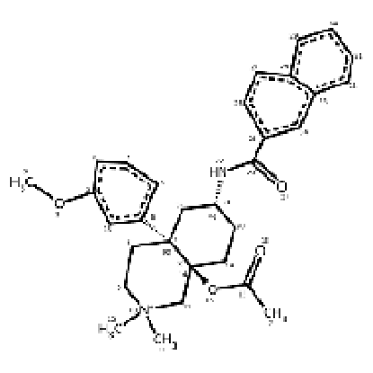 COc1cccc([C@@]23CC[N+](C)(C)C[C@@]2(OC(C)=O)CC[C@@H](NC(=O)c2ccc4ccccc4c2)C3)c1